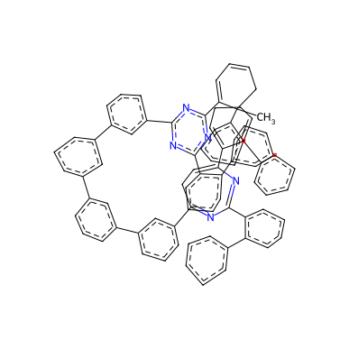 CC1(c2ccccc2)CC=CC=C1c1nc(-c2cccc(-c3cccc(-c4cccc(-c5cccc(C6=NC(c7ccccc7-c7ccccc7)=NC(C7=CCCC=C7c7ccccc7)=CC6)c5)c4)c3)c2)nc(-c2ccccc2-c2ccccc2)n1